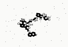 Cc1nn(C)c(C)c1-c1c(Cl)ccc2c(CCCOc3cccc4cc(F)ccc34)c(C(=O)O)n(CCCCNC(=O)CNc3cccc4c3C(=O)N(C3CCC(=O)NC3=O)C4=O)c12